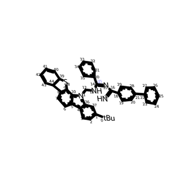 CC(C)(C)c1ccc2c3ccc4c(c3n(CN/C(=N\C(=N)c3ccc(-c5ccccc5)cc3)c3ccccc3)c2c1)SC1C=CC=CC41